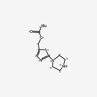 CC(C)(C)C(=O)OCc1cnc(N2CCNCC2)s1